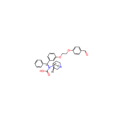 O=Cc1ccc(OCCOc2cccc([C@H](c3ccccc3)N(C(=O)O)[C@H]3CN4CCC3CC4)c2)cc1